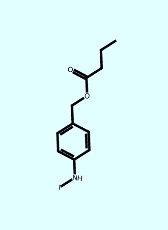 CCCC(=O)OCc1ccc(NI)cc1